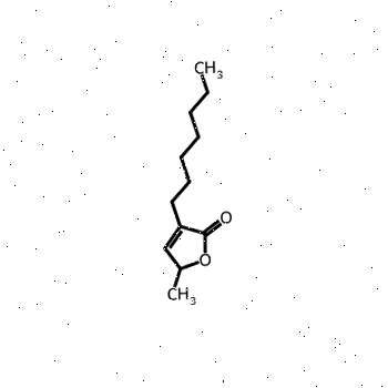 CCCCCCCC1=CC(C)OC1=O